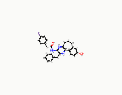 O=C(Cc1ccc(I)cc1)Nc1nc2c(nc1Cc1ccccc1)-c1ccc(O)cc1CCC2